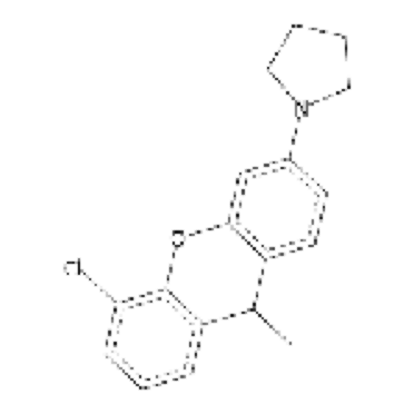 CC1c2ccc(N3CCCC3)cc2Oc2c(Cl)cccc21